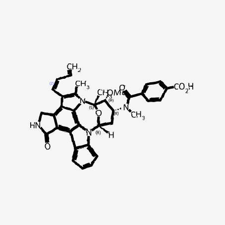 C=C/C=C\c1c(C)n2c3c1c1c(c4c5ccccc5n(c43)[C@H]3C[C@@H](N(C)C(=O)c4ccc(C(=O)O)cc4)[C@@H](OC)[C@]2(C)O3)C(=O)NC1